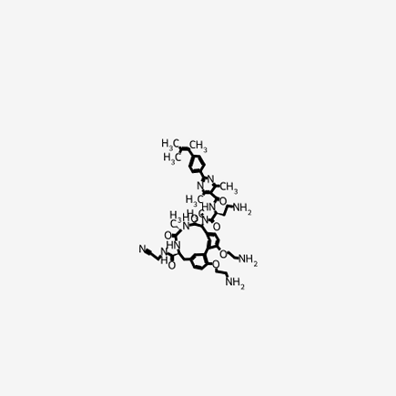 CC(C)=C(C)c1ccc(-c2nc(C)c(C(=O)N[C@@H](CCN)C(=O)N(C)[C@@H]3C(=O)N[C@@H](C)C(=O)N[C@H](C(=O)NCC#N)Cc4ccc(OCCN)c(c4)-c4cc3ccc4OCCN)c(C)n2)cc1